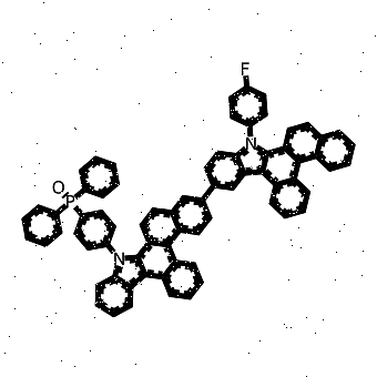 O=P(c1ccccc1)(c1ccccc1)c1ccc(-n2c3ccccc3c3c4ccccc4c4c5ccc(-c6ccc7c(c6)c6c8ccccc8c8c9ccccc9ccc8c6n7-c6ccc(F)cc6)cc5ccc4c32)cc1